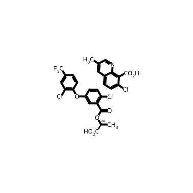 C[C@H](OC(=O)c1cc(Oc2ccc(C(F)(F)F)cc2Cl)ccc1Cl)C(=O)O.Cc1cnc2c(C(=O)O)c(Cl)ccc2c1